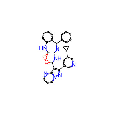 O=C(N[C@H]1N=C(c2ccccc2)c2ccccc2NC1=O)c1c(-c2cncc(C3CC3)c2)nn2cccnc12